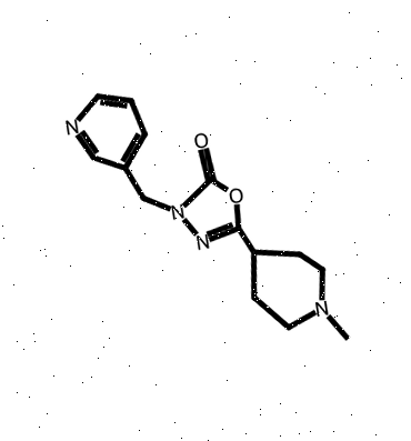 CN1CCC(c2nn(Cc3cccnc3)c(=O)o2)CC1